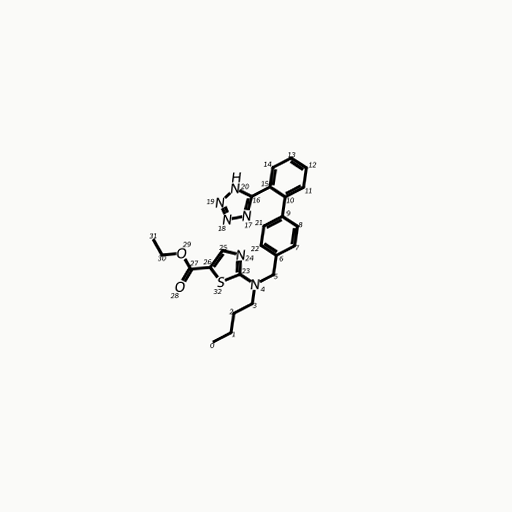 CCCCN(Cc1ccc(-c2ccccc2-c2nnn[nH]2)cc1)c1ncc(C(=O)OCC)s1